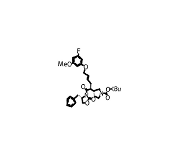 COc1cc(F)cc(OC/C=C/C[C@H](C(=O)N2C(=O)OC[C@@H]2Cc2ccccc2)[C@H]2CCN(C(=O)OC(C)(C)C)C2)c1